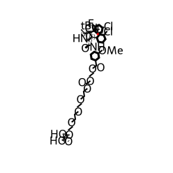 COc1cc(C(=O)OCCOC(=O)OCCOCCOCCOCCOP(=O)(O)O)ccc1NC(=O)[C@@H]1N[C@@H](CC(C)(C)C)[C@](C#N)(c2ccc(Cl)cc2F)[C@H]1c1cccc(Cl)c1F